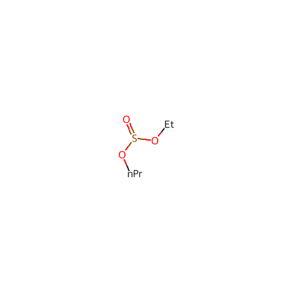 CCCOS(=O)OCC